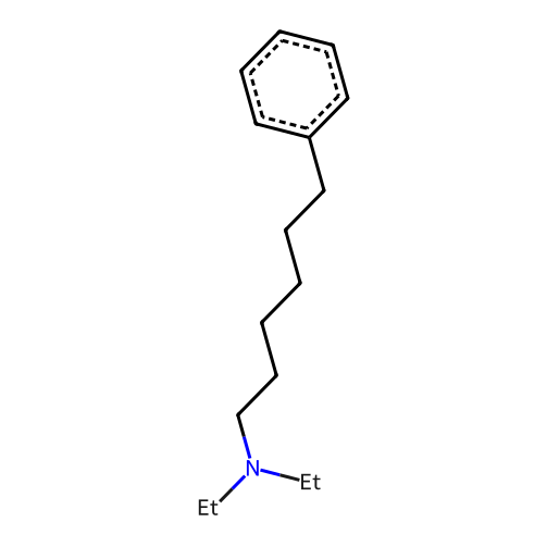 CCN(CC)CCCCCCc1ccccc1